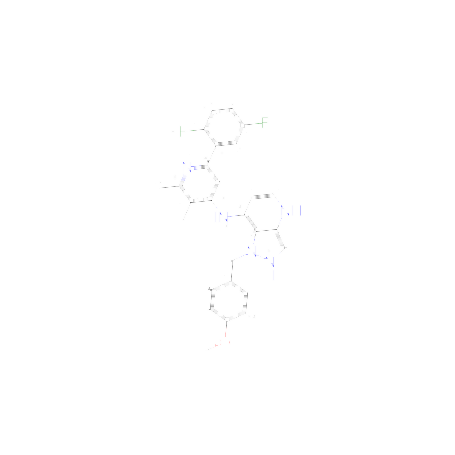 COc1ccc(CN2NC=C3NC=CC(Nc4cc(-c5cc(F)ccc5F)nc(C)c4C)=C32)cc1